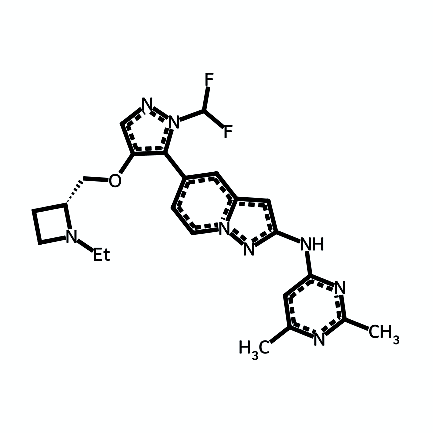 CCN1CC[C@@H]1COc1cnn(C(F)F)c1-c1ccn2nc(Nc3cc(C)nc(C)n3)cc2c1